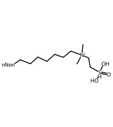 CCCCCCCCCCCCCCCC[N+](C)(C)CC[SH](=O)(O)O